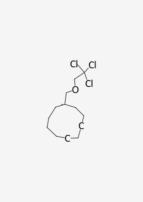 ClC(Cl)(Cl)COC[C]1CCCCCCCCC1